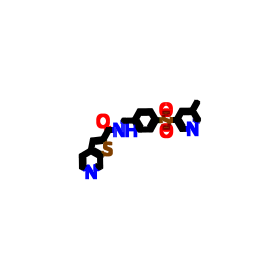 Cc1cncc(S(=O)(=O)c2ccc(CNC(=O)c3cc4ccncc4s3)cc2)c1